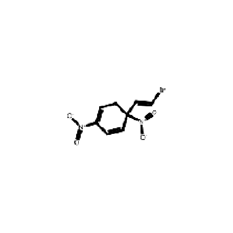 O=[N+]([O-])C1=CCC(C=CBr)([N+](=O)[O-])C=C1